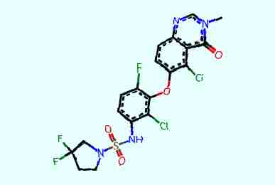 Cn1cnc2ccc(Oc3c(F)ccc(NS(=O)(=O)N4CCC(F)(F)C4)c3Cl)c(Cl)c2c1=O